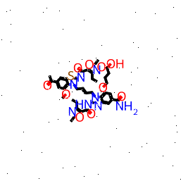 CCc1nc(C)oc1C(=O)/N=c1\sc2cc(C(C)=O)cc(OC)c2n1C/C=C/Cn1c(NC(=O)c2oc(C)nc2CC)nc2cc(C(N)=O)cc(OCCCC(=O)O)c21